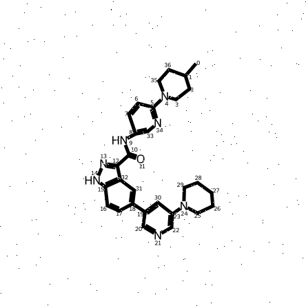 CC1CCN(c2ccc(NC(=O)c3n[nH]c4ccc(-c5cncc(N6CCCCC6)c5)cc34)cn2)CC1